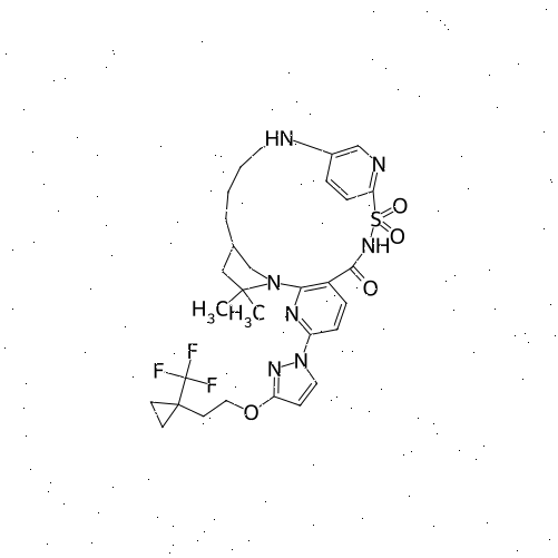 CC1(C)CC2CCCCNc3ccc(nc3)S(=O)(=O)NC(=O)c3ccc(-n4ccc(OCCC5(C(F)(F)F)CC5)n4)nc3N1C2